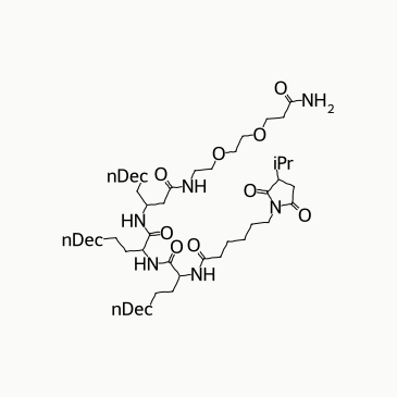 CCCCCCCCCCCCC(NC(=O)CCCCCN1C(=O)CC(C(C)C)C1=O)C(=O)NC(CCCCCCCCCCCC)C(=O)NC(CCCCCCCCCCC)CC(=O)NCCOCCOCCC(N)=O